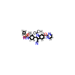 CC(C)n1c(-c2ccc(NS(=O)(=O)C3CCC3)cc2)c(C#N)c2ccc(Oc3ncccn3)cc21